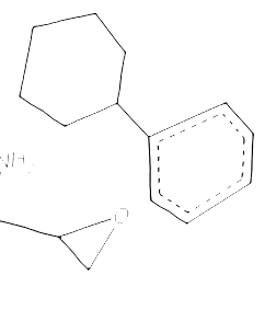 NCC1CO1.c1ccc(C2CCCCC2)cc1